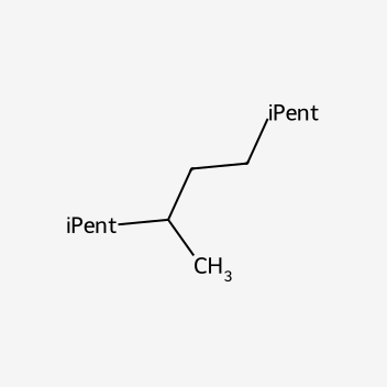 CCCC(C)CCC(C)C(C)CCC